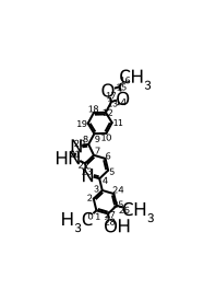 Cc1cc(-c2ccc3c(-c4ccc(C5OC(C)O5)cc4)n[nH]c3n2)cc(C)c1O